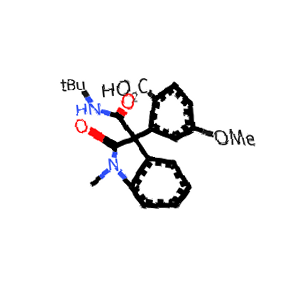 COc1ccc(C(=O)O)c(C2(C(=O)NC(C)(C)C)C(=O)N(C)c3ccccc32)c1